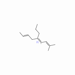 CC=CC/C(=[C]/C=C(C)C)CCC